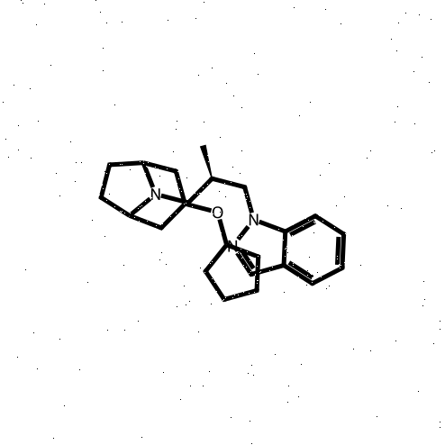 C[C@H](CN1C2CCC1CC(OC1CCCC1)C2)Cn1ncc2ccccc21